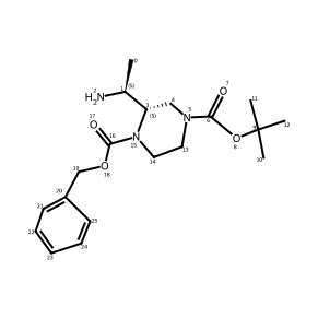 C[C@H](N)[C@@H]1CN(C(=O)OC(C)(C)C)CCN1C(=O)OCc1ccccc1